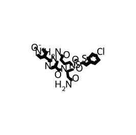 NC(=O)CC1CN(S(=O)(=O)c2cc3ccc(Cl)cc3s2)CC(CC(N)=O)N1C(=O)c1cnc(-c2cc[n+]([O-])cc2)nc1